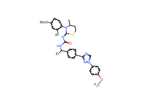 CCC(NC(=O)/N=C1\SCCC(C)N1c1ccc(OC)cc1C(C)C)c1ccc(-c2ncn(-c3ccc(OC(F)(F)F)cc3)n2)cc1